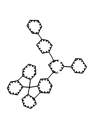 c1ccc(-c2ccc(-c3cc(-c4ccc5c(c4)C4(c6ccccc6-c6ccccc64)c4ccccc4-5)nc(-c4ccccc4)n3)cc2)cc1